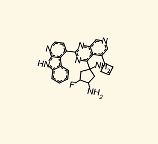 NC1CC(N)(c2nc(-c3ccnc4[nH]c5ccccc5c34)nc3cncc(C4CCC4)c23)CC1F